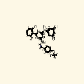 Fc1cccc(Cl)c1-c1nc(N/N=C\c2ccc(OC(F)(F)F)cc2)nc(Nc2cc(Cl)cc(Cl)c2)n1